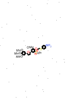 CCCS(=O)(=O)c1cc([C@H]2CC[C@H](c3cc(OC)c(OC)c(OC)c3)O2)cc(OC)c1OCCSc1ccc(N)cc1